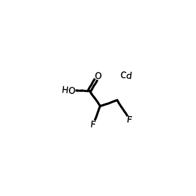 O=C(O)C(F)CF.[Cd]